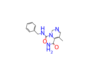 CC1=C(C(N)=O)N(C(=O)NCc2ccccc2)CN=C1